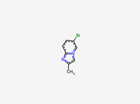 Cc1cn2cc(Br)ccc2n1